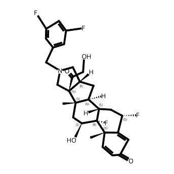 C[C@]12C=CC(=O)C=C1[C@@H](F)C[C@H]1[C@@H]3C[C@H]4CN(Cc5cc(F)cc(F)c5)C[C@@]4(C(=O)CO)[C@@]3(C)C[C@H](O)[C@@]12F